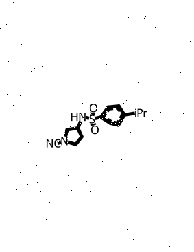 CC(C)c1ccc(S(=O)(=O)NC2CCN(C#N)C2)cc1